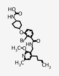 C=CCCc1cc(C)nc(OC)c1CNC(=O)c1cccc(O[C@H]2CC[C@H](NC(=O)O)CC2)c1Br